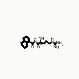 N=C(N)NCCC[C@H](N)C(=O)NC(=O)c1cccc2ccccc12